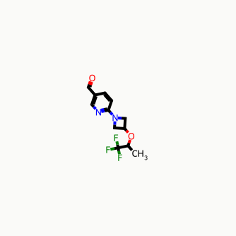 CC(OC1CN(c2ccc(C=O)cn2)C1)C(F)(F)F